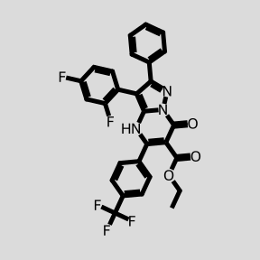 CCOC(=O)c1c(-c2ccc(C(F)(F)F)cc2)[nH]c2c(-c3ccc(F)cc3F)c(-c3ccccc3)nn2c1=O